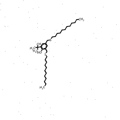 CCCCCCCCCCCCSCc1cc(CSCCCCCCCCCCCC)c(O)c(C(C)(C)C)c1